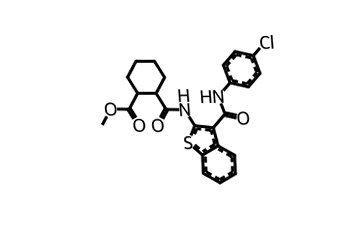 COC(=O)C1CCCCC1C(=O)Nc1sc2ccccc2c1C(=O)Nc1ccc(Cl)cc1